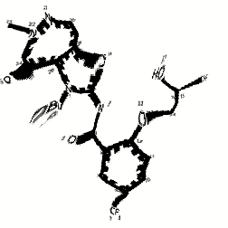 CCCCn1c(=NC(=O)c2cc(C(F)(F)F)ccc2OC[C@H](C)O)sc2cnn(C)c(=O)c21